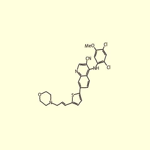 COc1cc(Nc2c(C#N)cnc3cc(-c4ccc(C=CCN5CCOCC5)s4)ccc23)c(Cl)cc1Cl